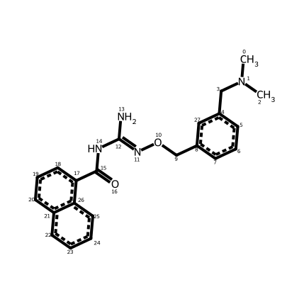 CN(C)Cc1cccc(CON=C(N)NC(=O)c2cccc3ccccc23)c1